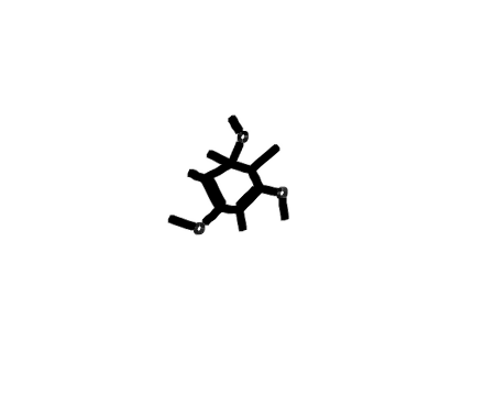 COC1=C(C)C(C)(OC)C(C)C(OC)=C1C